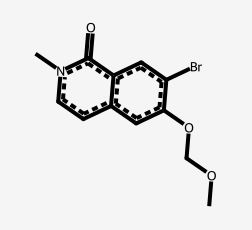 COCOc1cc2ccn(C)c(=O)c2cc1Br